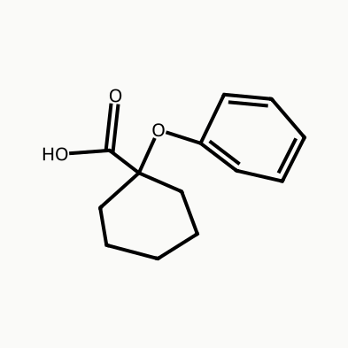 O=C(O)C1(Oc2ccccc2)CCCCC1